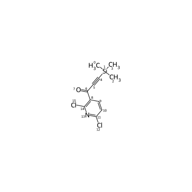 C[Si](C)(C)C#CC(=O)c1ccc(Cl)nc1Cl